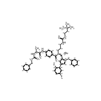 C[C@H](NC(=O)OCc1ccccc1)C(=O)Nc1ccc(C(=O)N(CCCNC(=O)OCC[Si](C)(C)C)[C@@H](c2cc(-c3cc(F)ccc3F)cn2Cc2ccccc2)C(C)(C)C)cc1